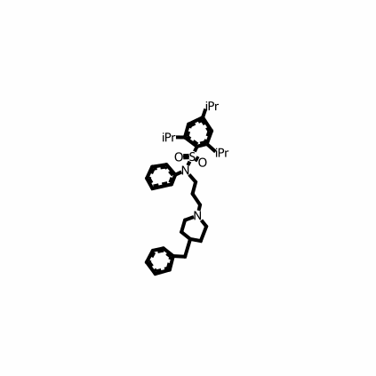 CC(C)c1cc(C(C)C)c(S(=O)(=O)N(CCCN2CCC(Cc3ccccc3)CC2)c2ccccc2)c(C(C)C)c1